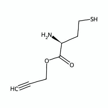 C#CCOC(=O)[C@@H](N)CCS